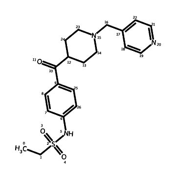 CCS(=O)(=O)Nc1ccc(C(=O)C2CCN(Cc3ccncc3)CC2)cc1